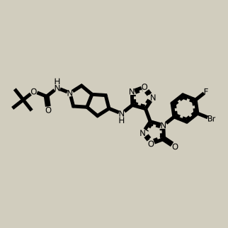 CC(C)(C)OC(=O)NN1CC2CC(Nc3nonc3-c3noc(=O)n3-c3ccc(F)c(Br)c3)CC2C1